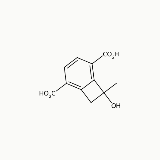 CC1(O)Cc2c(C(=O)O)ccc(C(=O)O)c21